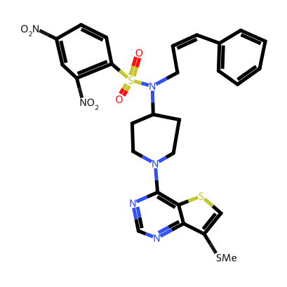 CSc1csc2c(N3CCC(N(C/C=C\c4ccccc4)S(=O)(=O)c4ccc([N+](=O)[O-])cc4[N+](=O)[O-])CC3)ncnc12